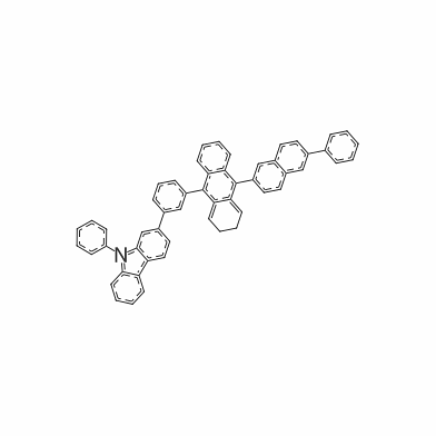 C1=c2c(-c3cccc(-c4ccc5c6ccccc6n(-c6ccccc6)c5c4)c3)c3ccccc3c(-c3ccc4cc(-c5ccccc5)ccc4c3)c2=CCC1